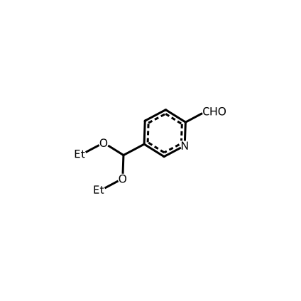 CCOC(OCC)c1ccc(C=O)nc1